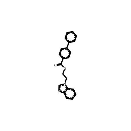 O=C(OCCn1cnc2ccccc21)c1ccc(-c2ccccc2)cc1